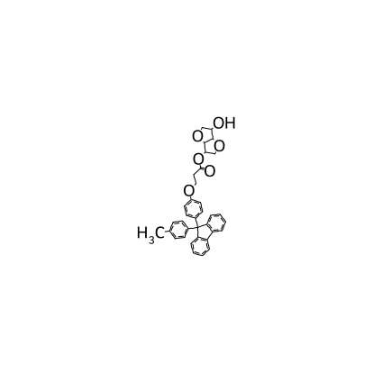 Cc1ccc(C2(c3ccc(OCCC(=O)OC4COC5C(O)COC45)cc3)c3ccccc3-c3ccccc32)cc1